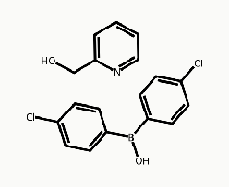 OB(c1ccc(Cl)cc1)c1ccc(Cl)cc1.OCc1ccccn1